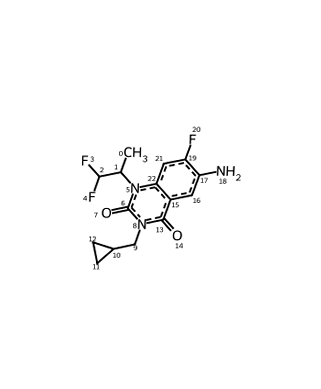 CC(C(F)F)n1c(=O)n(CC2CC2)c(=O)c2cc(N)c(F)cc21